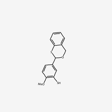 COc1ccc(C2OCc3ccccc3S2)cc1S